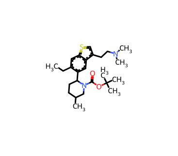 CCc1cc2scc(CCN(C)C)c2cc1C1CCC(C)CN1C(=O)OC(C)(C)C